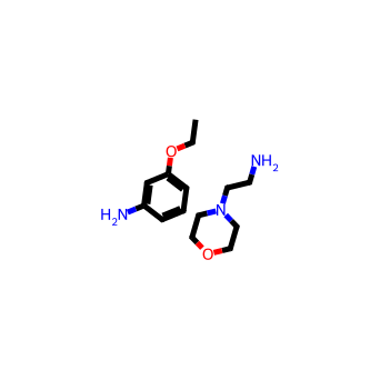 CCOc1cccc(N)c1.NCCN1CCOCC1